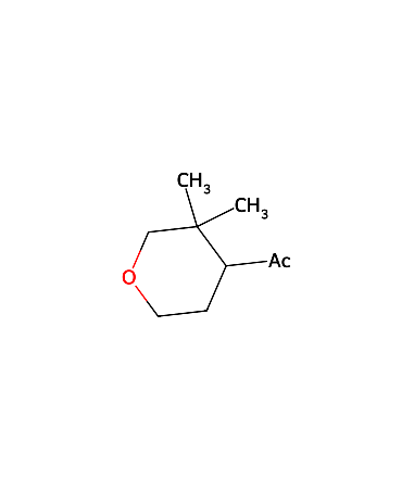 CC(=O)C1CCOCC1(C)C